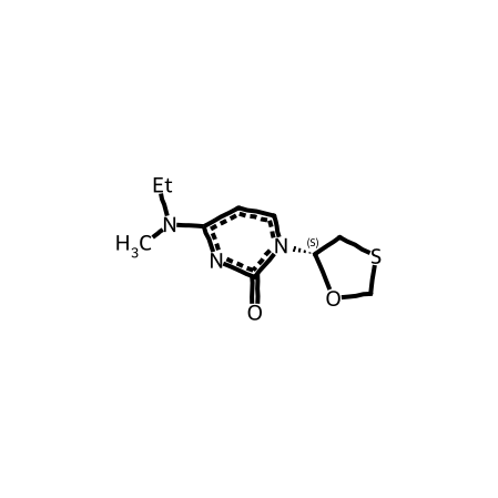 CCN(C)c1ccn([C@@H]2CSCO2)c(=O)n1